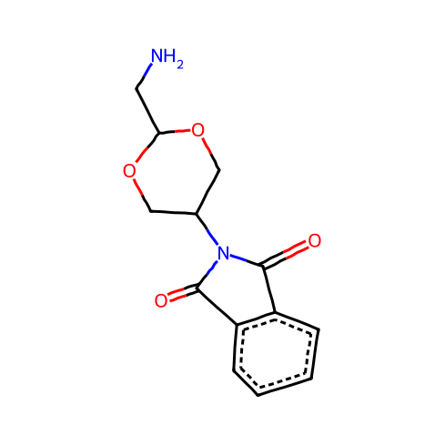 NCC1OCC(N2C(=O)c3ccccc3C2=O)CO1